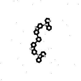 c1cc(-c2ccc3oc4ccc(-n5c6ccccc6c6ncccc65)cc4c3c2)cc(-c2ccc3sc4ccc(-n5c6ccccc6c6ncccc65)cc4c3c2)c1